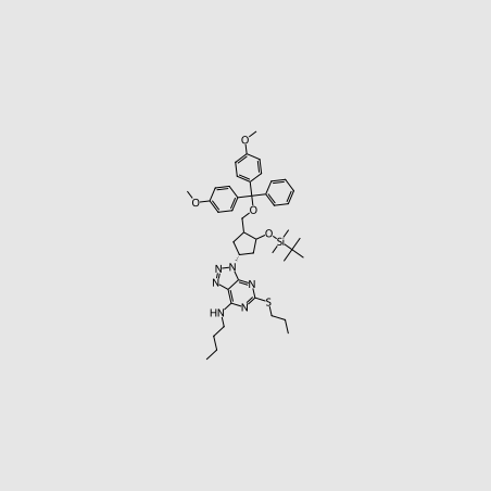 CCCCNc1nc(SCCC)nc2c1nnn2[C@@H]1CC(COC(c2ccccc2)(c2ccc(OC)cc2)c2ccc(OC)cc2)C(O[Si](C)(C)C(C)(C)C)C1